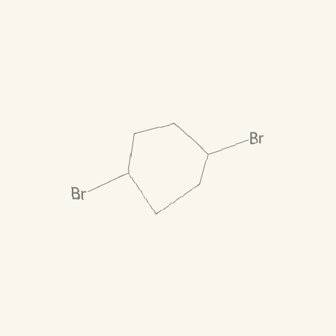 BrC1CCC(Br)CC1